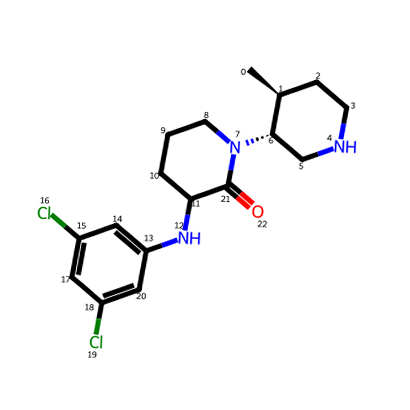 C[C@H]1CCNC[C@@H]1N1CCCC(Nc2cc(Cl)cc(Cl)c2)C1=O